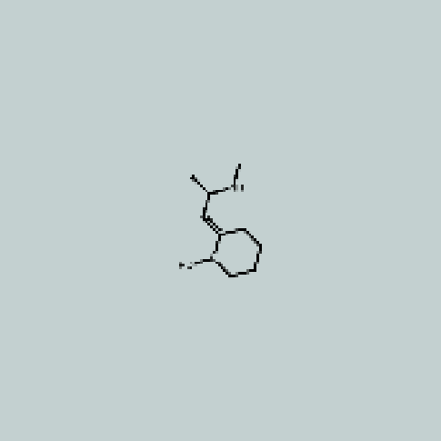 CN[C@H](C)/C=C1\CCCCN1O